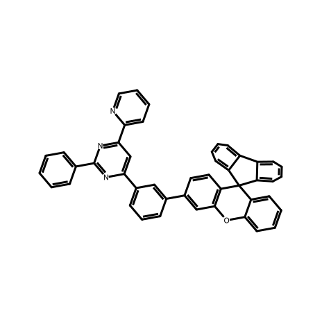 c1ccc(-c2nc(-c3cccc(-c4ccc5c(c4)Oc4ccccc4C54c5ccccc5-c5ccccc54)c3)cc(-c3ccccn3)n2)cc1